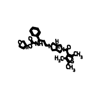 Cc1sc(C)c(C(=O)N2CC3CN(CCC(NC(=O)O[C@H]4CCOC4)c4ccccc4)C[C@H]3C2)c1C